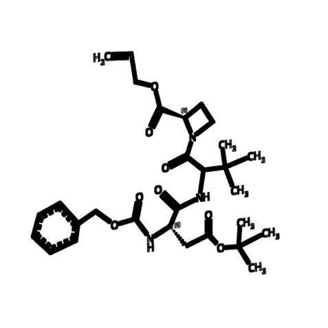 C=CCOC(=O)[C@H]1CCN1C(=O)C(NC(=O)[C@H](CC(=O)OC(C)(C)C)NC(=O)OCc1ccccc1)C(C)(C)C